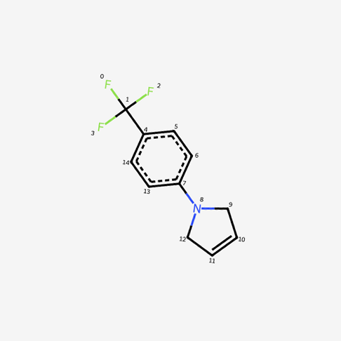 FC(F)(F)c1ccc(N2CC=CC2)cc1